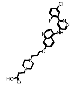 O=C(O)CCN1CCN(CCCOc2ccc3c(Nc4cnnc(-c5cc(Cl)ccc5F)c4)ccnc3c2)CC1